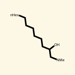 CCCCCCCCCCCCC(O)CNC